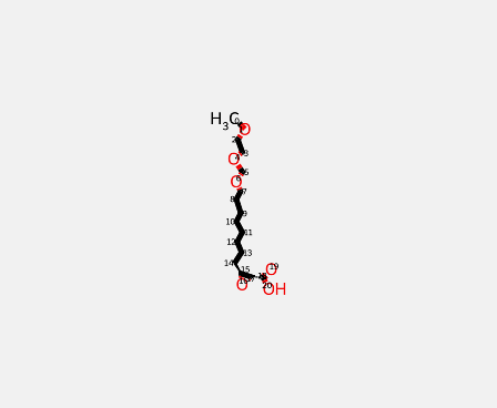 COCCOCOCCCCCCCC[C@@H]1O[C@H]1C(=O)O